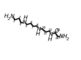 NCCCNCCCCNCCCNC(=O)CN